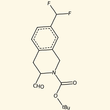 CC(C)(C)OC(=O)N1Cc2cc(C(F)F)ccc2CC1C=O